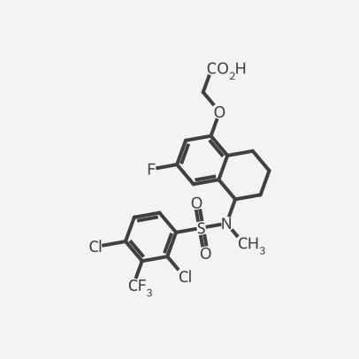 CN(C1CCCc2c(OCC(=O)O)cc(F)cc21)S(=O)(=O)c1ccc(Cl)c(C(F)(F)F)c1Cl